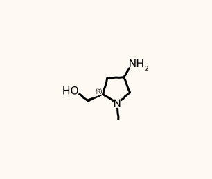 CN1CC(N)C[C@@H]1CO